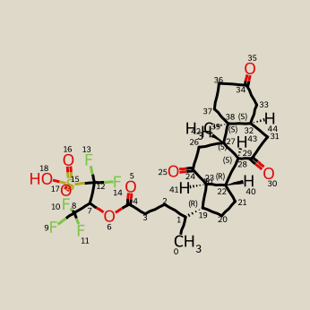 CC(CCC(=O)OC(C(F)(F)F)C(F)(F)S(=O)(=O)O)[C@H]1CC[C@@H]2[C@@H]1C(=O)C[C@H]1[C@H]2C(=O)C[C@@H]2CC(=O)CC[C@@]21C